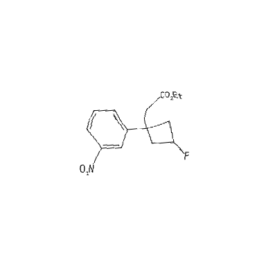 CCOC(=O)CC1(c2cccc([N+](=O)[O-])c2)CC(F)C1